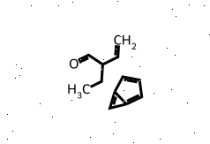 C=CC(C=O)CC.c1cc2cc-2c1